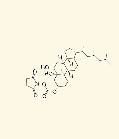 CC(C)CCC[C@@H](C)[C@H]1CC[C@H]2[C@@H]3C[C@@H](O)[C@@]4(O)C[C@@H](OC(=O)ON5C(=O)CCC5=O)CC[C@]4(C)[C@H]3CC[C@]12C